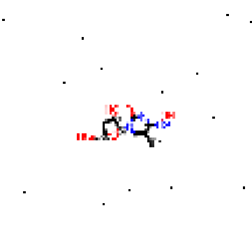 CC(C)c1cn([C@@H]2O[C@H](CO)C[C@H]2O)c(=O)nc1NO